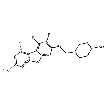 Cc1cc(F)c2c(c1)sc1cc(OCC3CCC(S)CC3)c(F)c(F)c12